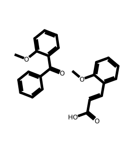 COc1ccccc1C(=O)c1ccccc1.COc1ccccc1C=CC(=O)O